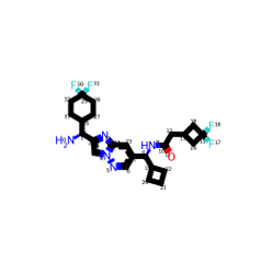 N[C@H](c1cn2ncc([C@@H](NC(=O)CC3CC(F)(F)C3)C3CCC3)cc2n1)C1CCC(F)(F)CC1